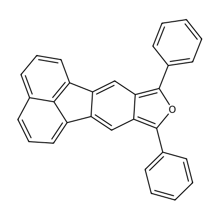 c1ccc(-c2oc(-c3ccccc3)c3cc4c(cc23)-c2cccc3cccc-4c23)cc1